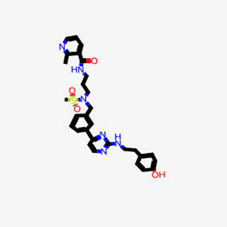 Cc1ncccc1C(=O)NCCCN(Cc1cccc(-c2ccnc(NCCc3ccc(O)cc3)n2)c1)S(C)(=O)=O